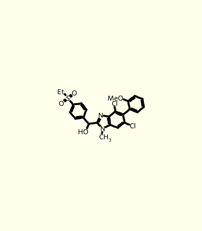 CCS(=O)(=O)c1ccc(C(O)c2nc3c(Cl)c(-c4ccccc4OC)c(Cl)cc3n2C)cc1